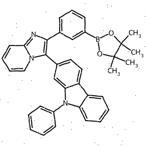 CC1(C)OB(c2cccc(-c3nc4ccccn4c3-c3ccc4c5ccccc5n(-c5ccccc5)c4c3)c2)OC1(C)C